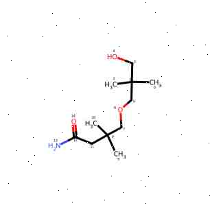 CC(C)(CO)COCC(C)(C)CC(N)=O